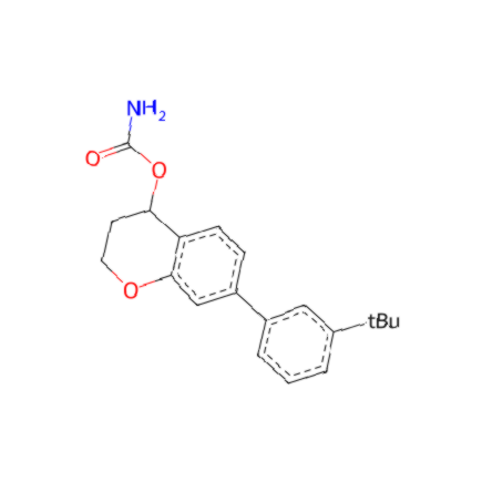 CC(C)(C)c1cccc(-c2ccc3c(c2)OCCC3OC(N)=O)c1